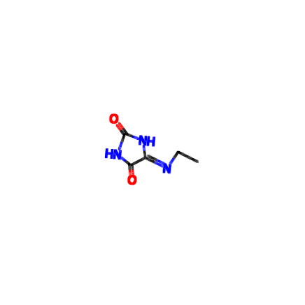 CC/N=C1\NC(=O)NC1=O